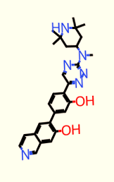 CN(c1ncc(-c2ccc(-c3cc4ccncc4cc3O)cc2O)nn1)C1CC(C)(C)NC(C)(C)C1